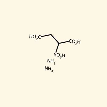 N.N.O=C(O)CC(C(=O)O)S(=O)(=O)O